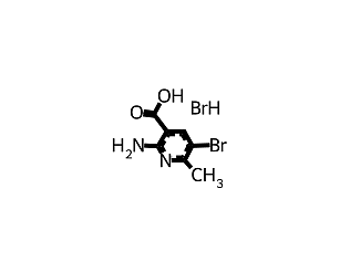 Br.Cc1nc(N)c(C(=O)O)cc1Br